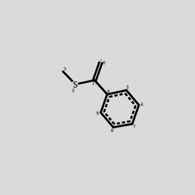 [CH]=C(SC)c1ccccc1